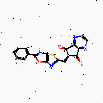 O=C1C(=Cc2nc3oc(-c4ccccc4)nc3s2)C(=O)c2nccnc21